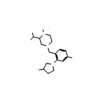 NC1CCN(c2cc(Cl)ccc2CN2CCN(C(=O)O)C(C(C(F)(F)F)C(F)(F)F)C2)C1